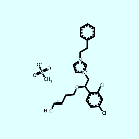 C/C=C/CCOC(C[n+]1ccn(CCc2ccccc2)c1)c1ccc(Cl)cc1Cl.CS(=O)(=O)[O-]